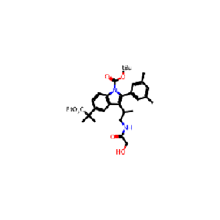 CCOC(=O)C(C)(C)c1ccc2c(c1)c(C(C)CNC(=O)CO)c(-c1cc(C)cc(C)c1)n2C(=O)OC(C)(C)C